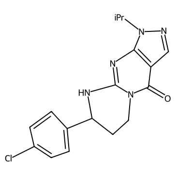 CC(C)n1ncc2c(=O)n3c(nc21)NC(c1ccc(Cl)cc1)CC3